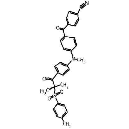 Cc1ccc(S(=O)(=O)C(C)(C)C(=O)c2ccc(N(C)c3ccc(C(=O)c4ccc(C#N)cc4)cc3)cc2)cc1